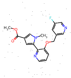 COC(=O)c1cc(-c2ncccc2OCc2cncc(F)c2)n(C)c1